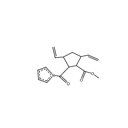 C=CC1CC(C=C)C(C(=O)n2cccc2)C1C(=O)OC